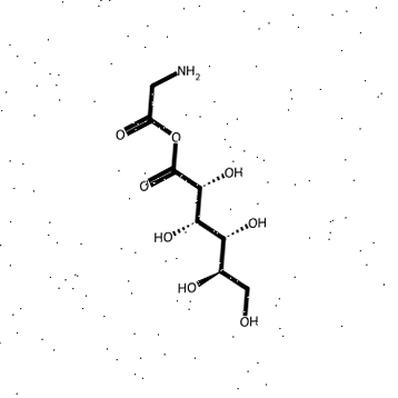 NCC(=O)OC(=O)[C@H](O)[C@@H](O)[C@H](O)[C@H](O)CO